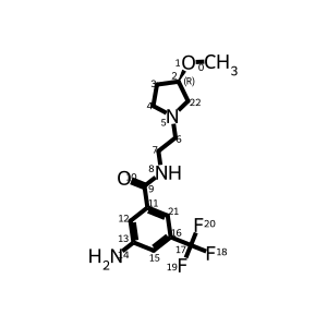 CO[C@@H]1CCN(CCNC(=O)c2cc(N)cc(C(F)(F)F)c2)C1